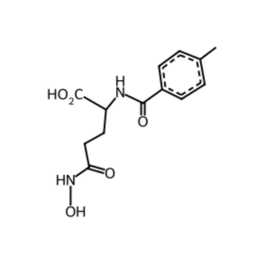 Cc1ccc(C(=O)NC(CCC(=O)NO)C(=O)O)cc1